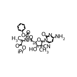 CC(C)OC(=O)[C@@H](C)N[P@](=O)(OC[C@H]1O[C@@H](n2ccc(N)nc2=O)[C@](C)(C#N)[C@@H]1O)Oc1ccccc1